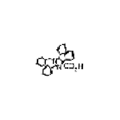 O=C(O)C1(c2ccccc2)N=C(c2ccccc2)N(CC2=CC=CCC2)C1C1C=CC=CC1